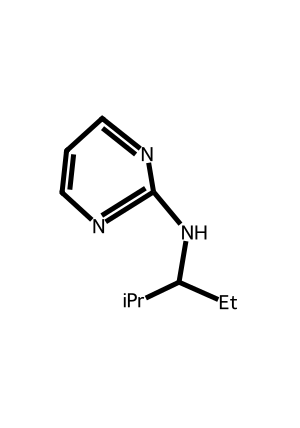 CCC(Nc1ncccn1)C(C)C